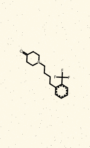 O=C1CCN(CCCCc2ccccc2C(F)(F)F)CC1